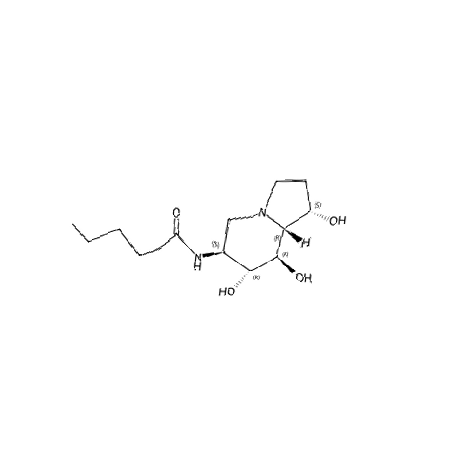 CCCCC(=O)N[C@H]1CN2CC[C@H](O)[C@@H]2[C@@H](O)[C@@H]1O